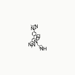 Cc1cncc(-c2ccc(-c3cc4cnc(C)nc4n(CCC4CCNC4)c3=O)c(Cl)c2)n1